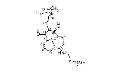 COCCNc1ccc2c3c(cccc13)C(=O)C(CCN(C)C)C2=O